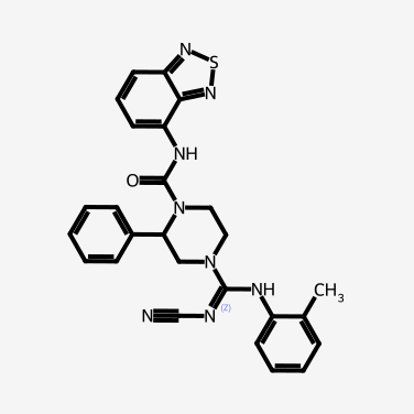 Cc1ccccc1N/C(=N/C#N)N1CCN(C(=O)Nc2cccc3nsnc23)C(c2ccccc2)C1